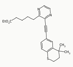 CCOC(=O)CCCCc1nccnc1C#Cc1ccc2c(c1)C(C)(C)CCS2